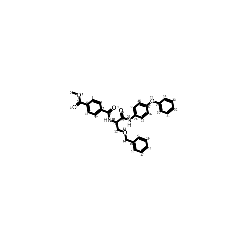 COC(=O)c1ccc(C(=O)NC(COCc2ccccc2)C(=O)Nc2ccc(Oc3ccccc3)cc2)cc1